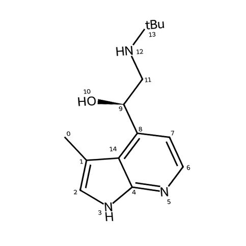 Cc1c[nH]c2nccc([C@@H](O)CNC(C)(C)C)c12